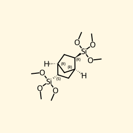 CO[Si](OC)(OC)[C@@H]1C[C@H]2C[C@@H]1C[C@@H]2[Si](OC)(OC)OC